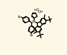 Cc1cc2c(cc1C(C)(C)C)-c1cc(C(C)(C)C)c(C)cc1[CH]2[Zr]([C]1=CC=CC1)=[C](c1ccc(Br)cc1)c1ccc(Br)cc1.Cl.Cl